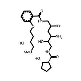 COCCCCOc1ccccc1C(=O)NCC(CC(N)C(O)CNC(=O)[C@H]1CCC[C@@H]1O)C(C)C.Cl